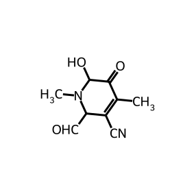 CC1=C(C#N)C(C=O)N(C)C(O)C1=O